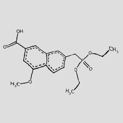 CCOP(=O)(Cc1ccc2c(OC)cc(C(=O)O)cc2c1)OCC